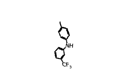 Cc1ccc(Nc2cccc(C(F)(F)F)c2)cc1